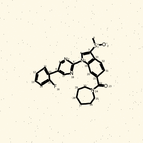 C[S+]([O-])c1cn(-c2ncc(-c3ccccc3F)cn2)c2cc(C(=O)N3CCCCCC3)ccc12